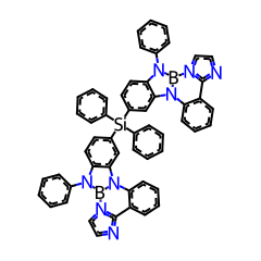 c1ccc(N2B3N(c4ccccc4-c4nccn43)c3cc([Si](c4ccccc4)(c4ccccc4)c4ccc5c(c4)N4B(N5c5ccccc5)n5ccnc5-c5ccccc54)ccc32)cc1